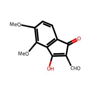 COc1ccc2c(c1OC)C(O)=C(C=O)C2=O